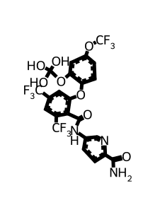 NC(=O)c1ccc(NC(=O)c2c(Oc3ccc(OC(F)(F)F)cc3OC(O)(O)O)cc(C(F)(F)F)cc2C(F)(F)F)cn1